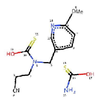 COc1ccc(CN(CCC#N)C(O)=S)cn1.NC(O)=S